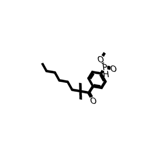 CCCCCCC(C)(C)C(=O)c1ccc([PH](=O)OC)cc1